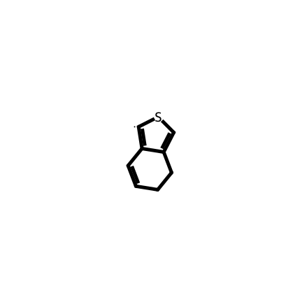 [c]1scc2c1C=CCC2